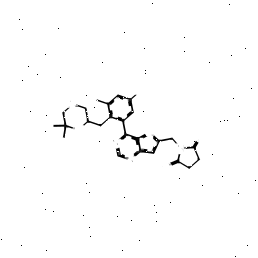 Cc1cc(Cl)cc(-c2ncnc3cc(CN4C(=O)CCC4=O)sc23)c1CC1CNCC(C)(C)O1